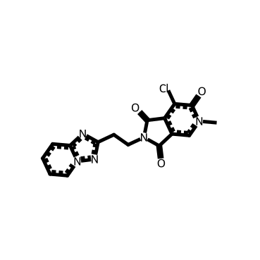 Cn1cc2c(c(Cl)c1=O)C(=O)N(CCc1nc3ccccn3n1)C2=O